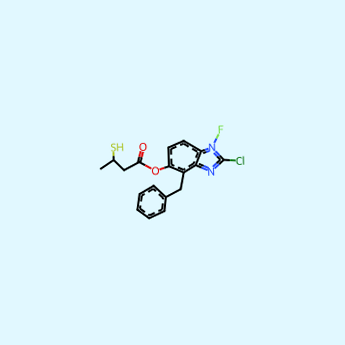 CC(S)CC(=O)Oc1ccc2c(nc(Cl)n2F)c1Cc1ccccc1